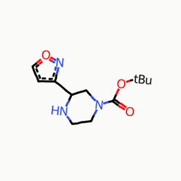 CC(C)(C)OC(=O)N1CCNC(c2ccon2)C1